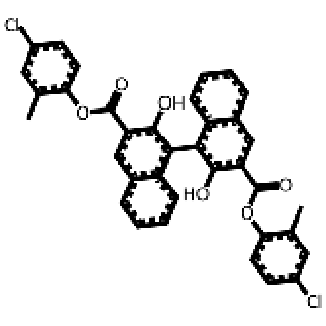 Cc1cc(Cl)ccc1OC(=O)c1cc2ccccc2c(-c2c(O)c(C(=O)Oc3ccc(Cl)cc3C)cc3ccccc23)c1O